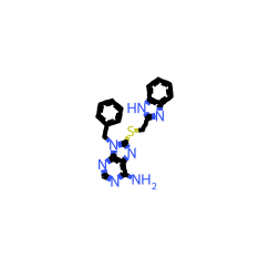 Nc1ncnc2c1nc(SCc1nc3ccccc3[nH]1)n2Cc1ccccc1